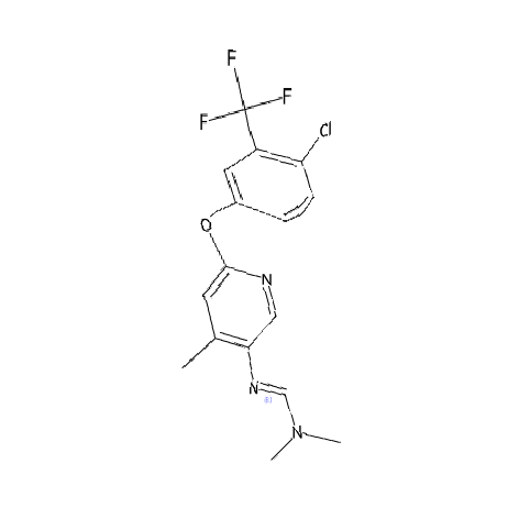 Cc1cc(Oc2ccc(Cl)c(C(F)(F)F)c2)ncc1/N=C/N(C)C